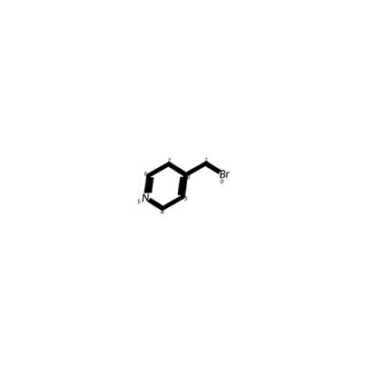 BrCC1=CCN=CC1